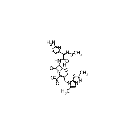 CO/N=C(\C(=O)N[C@@H]1C(=O)N2C(C(=O)[O-])=C(Cn3c(C)c[n+]4nc(C)sc34)CS[C@H]12)c1csc(N)n1